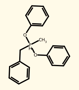 C[PH](Cc1ccccc1)(Oc1ccccc1)Oc1ccccc1